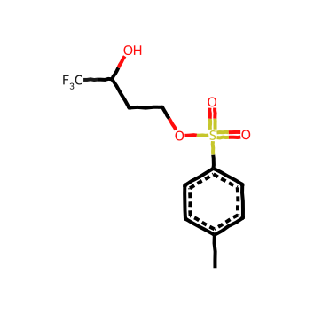 Cc1ccc(S(=O)(=O)OCCC(O)C(F)(F)F)cc1